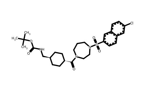 CC(C)(C)OC(=O)NC[C@H]1CC[C@H](C(=O)N2CCCN(S(=O)(=O)c3ccc4cc(Cl)ccc4c3)CC2)CC1